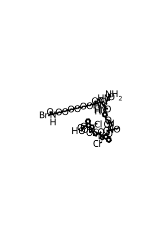 COCCN(CCN(C)C(=O)OCc1ccc(NC(=O)[C@H](CCCNC(N)=O)NC(=O)[C@@H](NC(=O)CCOCCOCCOCCOCCOCCOCCNC(=O)CBr)C(C)C)cc1)C(=O)Oc1cc2c(c3ccccc13)[C@H](CCl)CN2C(=O)c1ccc(C(=O)N2C[C@@H](CCl)c3c2cc(OP(=O)(O)O)c2ccccc32)s1